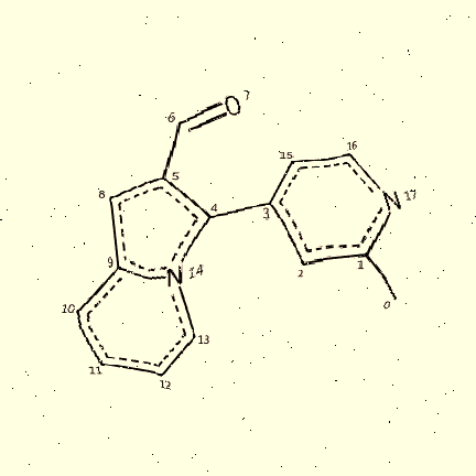 Cc1cc(-c2c(C=O)cc3ccccn23)ccn1